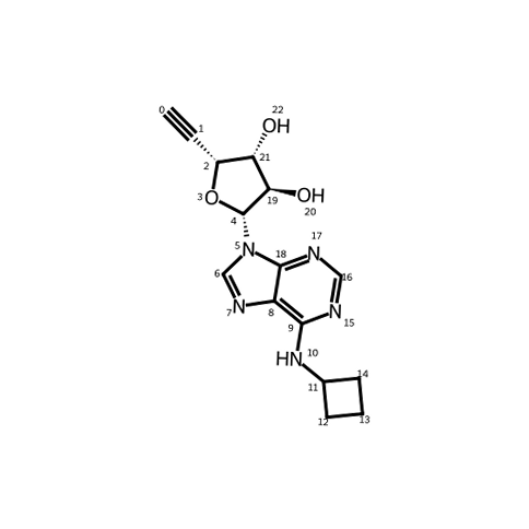 C#C[C@H]1O[C@@H](n2cnc3c(NC4CCC4)ncnc32)[C@H](O)[C@H]1O